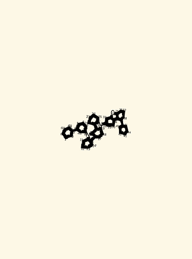 c1ccc(-c2cccc(-n3c4ccccc4c4ccc5c(c6ccccc6n5-c5ccc6c(c5)oc5cccc(-c7ccccc7)c56)c43)c2)cc1